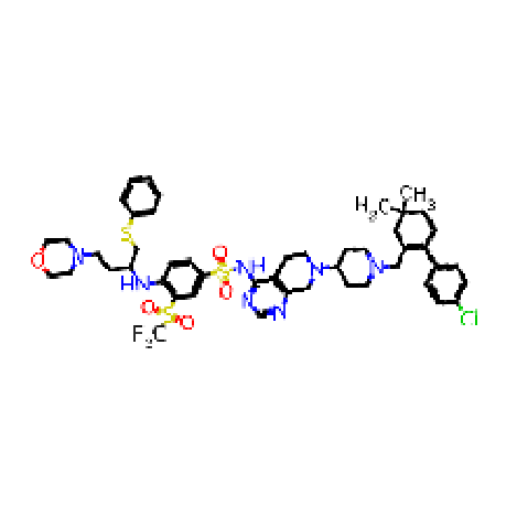 CC1(C)CCC(c2ccc(Cl)cc2)=C(CN2CCC(N3CCc4c(ncnc4NS(=O)(=O)c4ccc(NC(CCN5CCOCC5)CSc5ccccc5)c(S(=O)(=O)C(F)(F)F)c4)C3)CC2)C1